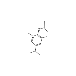 Cc1cc(C(C)C)cc(C)c1OC(C)C